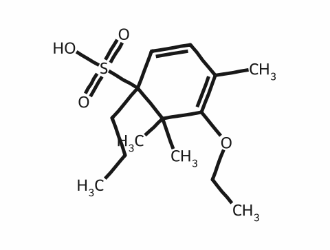 CCCC1(S(=O)(=O)O)C=CC(C)=C(OCC)C1(C)C